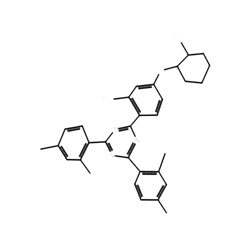 Cc1ccc(-c2nc(-c3ccc(C)cc3C)nc(-c3ccc(OC4CCCCC4O)cc3O)n2)c(C)c1